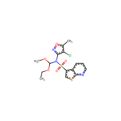 CCOC(OC)N(c1noc(C)c1Cl)S(=O)(=O)c1csc2ncccc12